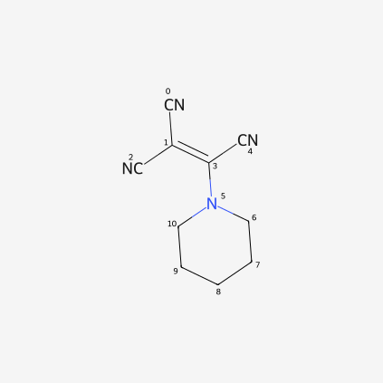 N#CC(C#N)=C(C#N)N1CCCCC1